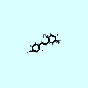 Fc1ccc(/C=C/c2cc(F)ccc2F)cc1